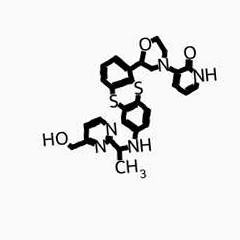 CC(Nc1ccc2c(c1)Sc1cccc(C3CN(c4ccc[nH]c4=O)CCO3)c1S2)c1nccc(CO)n1